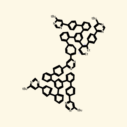 CC/C=C\C(=C(/CC)c1ccc(-c2cc(C(C)(C)C)ncn2)cc1)c1cc(-c2ccccc2C2=CCC=C(c3cc(-c4ccc(-c5ccccc5-c5cc(-c6ccccc6-c6ccc(-c7cc(C(C)(C)C)ncn7)cc6)cc(-c6ccccc6-c6ccc(-c7cc(C(C)(C)C)ncn7)cc6)c5)cc4)ncn3)C=C2)cc(-c2ccccc2-c2ccc(-c3cc(C(C)(C)C)ncn3)cc2)c1